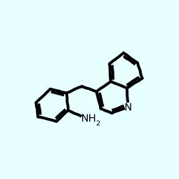 Nc1ccccc1Cc1ccnc2ccccc12